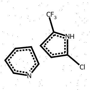 FC(F)(F)c1ccc(Cl)[nH]1.c1ccncc1